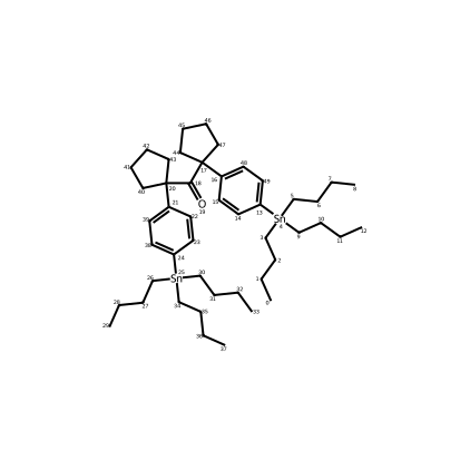 CCC[CH2][Sn]([CH2]CCC)([CH2]CCC)[c]1ccc(C2(C(=O)C3(c4cc[c]([Sn]([CH2]CCC)([CH2]CCC)[CH2]CCC)cc4)CCCC3)CCCC2)cc1